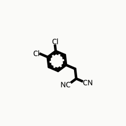 N#CC(C#N)Cc1ccc(Cl)c(Cl)c1